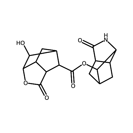 O=C1NC2C3CC(CC13)C2OC(=O)C1C2CC3C(OC(=O)C31)C2O